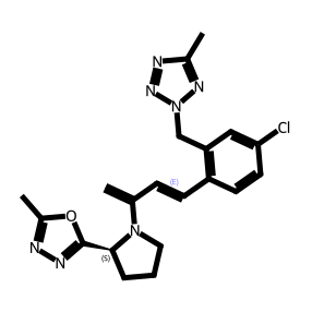 C=C(/C=C/c1ccc(Cl)cc1Cn1nnc(C)n1)N1CCC[C@H]1c1nnc(C)o1